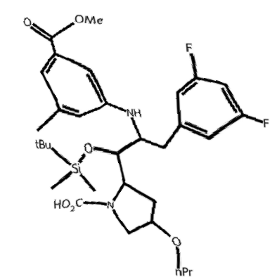 CCCOC1CC(C(O[Si](C)(C)C(C)(C)C)C(Cc2cc(F)cc(F)c2)Nc2cc(C)cc(C(=O)OC)c2)N(C(=O)O)C1